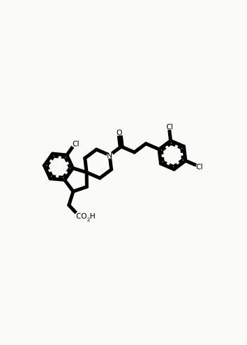 O=C(O)CC1CC2(CCN(C(=O)CCc3ccc(Cl)cc3Cl)CC2)c2c(Cl)cccc21